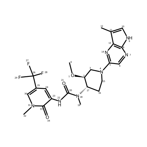 CO[C@H]1CN(c2cnc3[nH]cc(C)c3n2)CC[C@@H]1N(C)C(=O)Nc1cc(C(F)(F)F)cn(C)c1=O